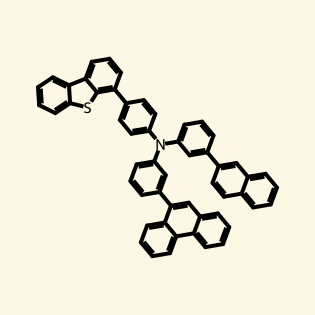 c1cc(-c2ccc3ccccc3c2)cc(N(c2ccc(-c3cccc4c3sc3ccccc34)cc2)c2cccc(-c3cc4ccccc4c4ccccc34)c2)c1